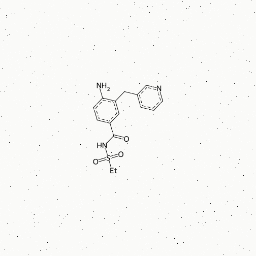 CCS(=O)(=O)NC(=O)c1ccc(N)c(Cc2cccnc2)c1